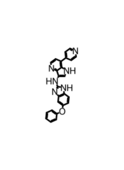 c1ccc(Oc2ccc3[nH]c(Nc4c[nH]c5c(-c6ccncc6)ccnc45)nc3c2)cc1